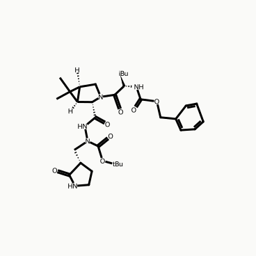 CC[C@H](C)[C@H](NC(=O)OCc1ccccc1)C(=O)N1C[C@H]2[C@@H]([C@H]1C(=O)NN(C[C@@H]1CCNC1=O)C(=O)OC(C)(C)C)C2(C)C